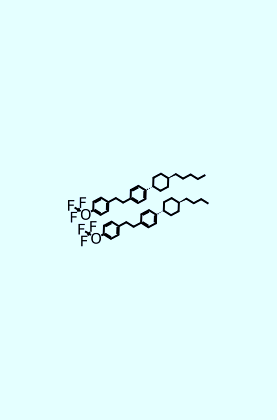 CCCCC[C@H]1CC[C@H](c2ccc(CCc3ccc(OC(F)(F)F)cc3)cc2)CC1.CCCC[C@H]1CC[C@H](c2ccc(CCc3ccc(OC(F)(F)F)cc3)cc2)CC1